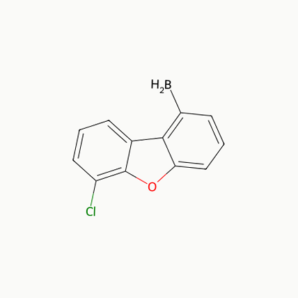 Bc1cccc2oc3c(Cl)cccc3c12